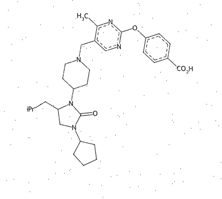 Cc1nc(Oc2ccc(C(=O)O)cc2)ncc1CN1CCC(N2C(=O)N(C3CCCC3)CC2CC(C)C)CC1